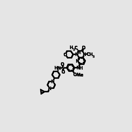 COc1cc(S(=O)(=O)N[C@H]2CC[C@H](N3CCN(CC4CC4)CC3)CC2)ccc1Nc1ccc2c(n1)N(C1CCOCC1)[C@H](C)C(=O)N2C